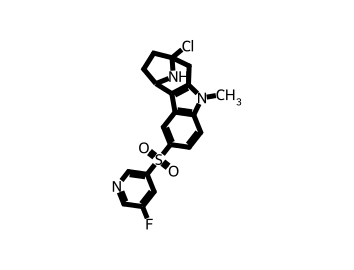 Cn1c2c(c3cc(S(=O)(=O)c4cncc(F)c4)ccc31)C1CCC(Cl)(C2)N1